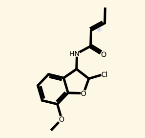 C/C=C/C(=O)NC1c2cccc(OC)c2OC1Cl